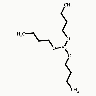 CCCCO[As](OCCCC)OCCCC